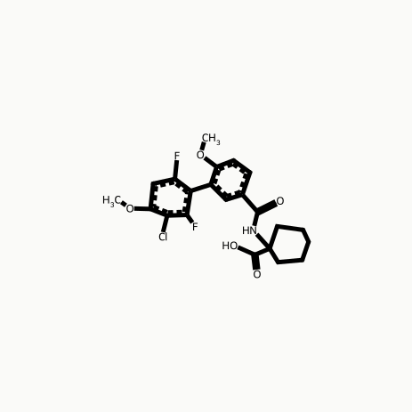 COc1ccc(C(=O)NC2(C(=O)O)CCCCC2)cc1-c1c(F)cc(OC)c(Cl)c1F